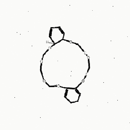 C1=CC2OCCOCCOC3=CCCC=C3OCOCOCO[C@H]2C=C1